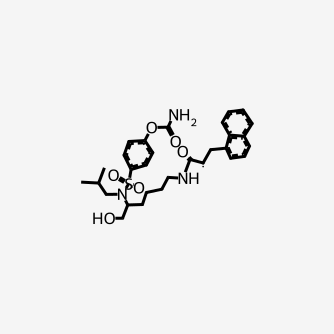 CC(C)CN(C(CO)CCCCNC(=O)[CH]Cc1cccc2ccccc12)S(=O)(=O)c1ccc(OC(N)=O)cc1